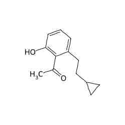 CC(=O)c1c(O)cccc1CCC1CC1